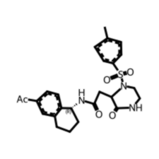 CC(=O)c1ccc2c(c1)CCC[C@H]2NC(=O)CC1C(=O)NCCN1S(=O)(=O)c1ccc(C)cc1